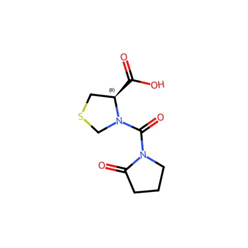 O=C(O)[C@@H]1CSCN1C(=O)N1CCCC1=O